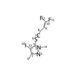 Cc1nn(C)c(SCCC=C(F)F)c1I